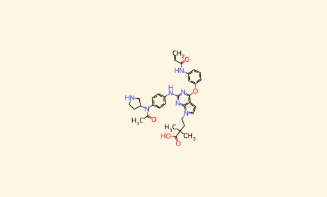 C=CC(=O)Nc1cccc(Oc2nc(Nc3ccc(N(C(C)=O)C4CCNC4)cc3)nc3c2ccn3CCC(C)(C)C(=O)O)c1